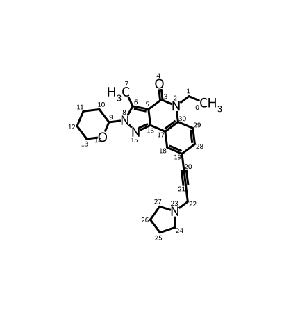 CCn1c(=O)c2c(C)n(C3CCCCO3)nc2c2cc(C#CCN3CCCC3)ccc21